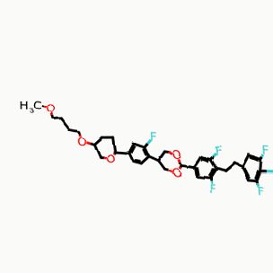 COCCCCOC1CCC(c2ccc(C3COC(c4cc(F)c(CCc5cc(F)c(F)c(F)c5)c(F)c4)OC3)c(F)c2)OC1